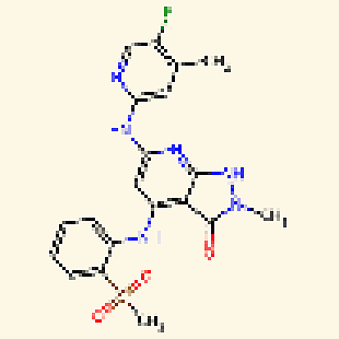 Cc1cc(Nc2cc(Nc3ccccc3S(C)(=O)=O)c3c(=O)n(C)[nH]c3n2)ncc1F